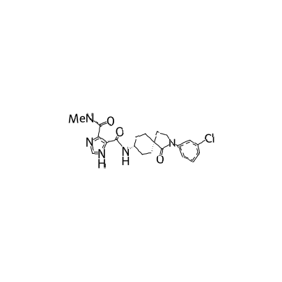 CNC(=O)c1nc[nH]c1C(=O)N[C@H]1CC[C@@]2(CCN(c3cccc(Cl)c3)C2=O)CC1